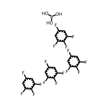 Fc1cc(F)c(F)c(F)c1.Fc1cc(F)c(F)c(F)c1.Fc1cc(F)c(F)c(F)c1.Fc1cc(F)c(F)c(F)c1.OB(O)O